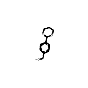 OCc1ccc(C2OCCCO2)cc1